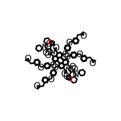 O=C1c2cc(Oc3ccc(Oc4cccc(CC5CO5)c4)cc3)c3c4c(Oc5ccc(Oc6cccc(CC7CO7)c6)cc5)cc5c6c(cc(Oc7ccc(Oc8cccc(CC9CO9)c8)cc7)c(c7c(Oc8ccc(Oc9cccc(CC%10CO%10)c9)cc8)cc(c2c37)C(=O)N1C(C(=O)N(C1CCCCC1)C1CCCCC1)c1ccco1)c64)C(=O)N(C(C(=O)N(C1CCCCC1)C1CCCCC1)c1ccco1)C5=O